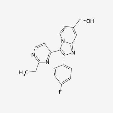 CCc1nccc(-c2c(-c3ccc(F)cc3)nc3cc(CO)ccn23)n1